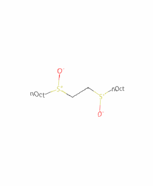 CCCCCCCC[S+]([O-])CC[S+]([O-])CCCCCCCC